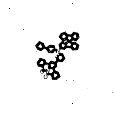 O=c1c2ccccc2c2cc(-c3cccc(N(c4ccc(-c5ccccc5)cc4)c4ccc5c(c4)-c4ccccc4C54c5ccccc5-c5ccccc54)c3)cc3c4ccccc4c(=O)n1c23